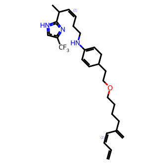 C=C/C=C\C(=C)CCCCOCCC1C=CC(NCC/C=C\C(C)c2nc(C(F)(F)F)c[nH]2)=CC1